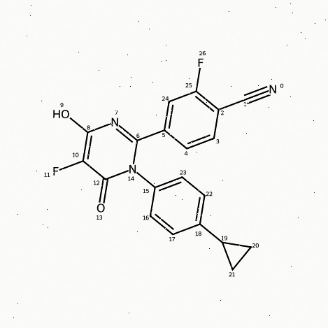 N#Cc1ccc(-c2nc(O)c(F)c(=O)n2-c2ccc(C3CC3)cc2)cc1F